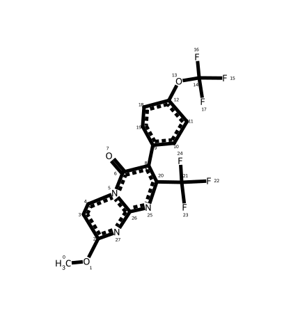 COc1ccn2c(=O)c(-c3ccc(OC(F)(F)F)cc3)c(C(F)(F)F)nc2n1